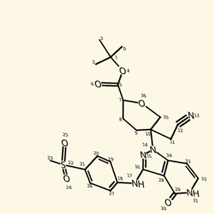 CC(C)(C)OC(=O)C1CCC(CC#N)(n2nc(Nc3ccc(S(C)(=O)=O)cc3)c3c(=O)[nH]ccc32)CO1